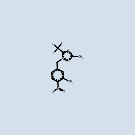 Cc1nc(C(F)(F)F)n(Cc2ccc([N+](=O)[O-])c(C)c2)n1